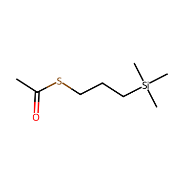 CC(=O)SCCC[Si](C)(C)C